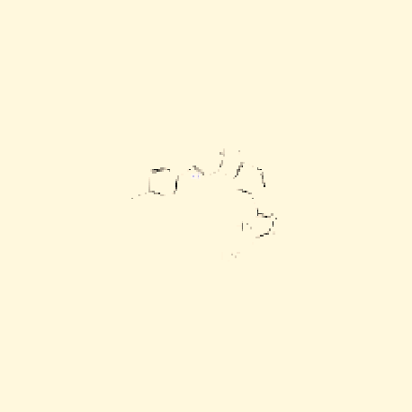 NCc1nnc(-c2cc3c(/C=C/c4ccc(F)cc4)n[nH]c3cc2F)[nH]1